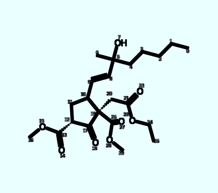 CCCCCC(C)(O)C=CC1C[C@@H](C(=O)OC)C(=O)[C@]1(CC(=O)OCC)C(=O)OC